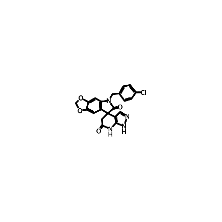 O=C1CC2(C(=O)N(Cc3ccc(Cl)cc3)c3cc4c(cc32)OCO4)c2cn[nH]c2N1